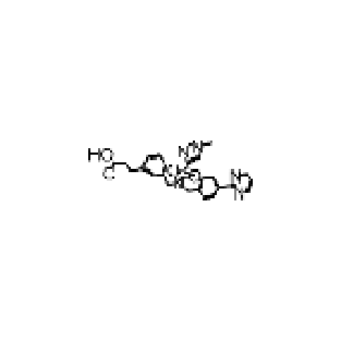 Cn1cnc(S(=O)(=O)N(Cc2ccc(-c3ncccn3)cc2)Cc2cccc(CCC(=O)O)c2)c1